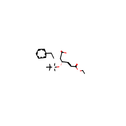 CCOC(=O)/C=C/[C@@H](O[Si](C)(C)C(C)(C)C)[C@H](CCc1ccccc1)C(=O)O